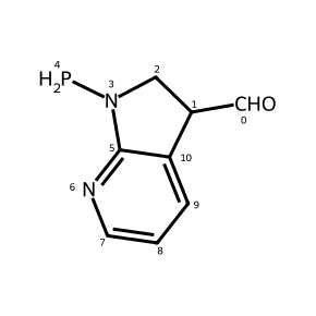 O=CC1CN(P)c2ncccc21